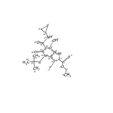 CCOC(=O)c1nn2c(O)c(C(=O)NC3CC3)c(=O)n(CC(C)(C)C)c2c1F